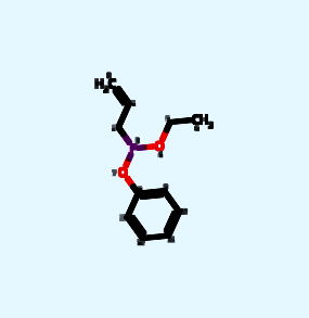 C=CCP(OCC)Oc1ccccc1